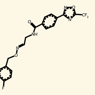 O=C(NCC=NOCc1ccc(F)cc1)c1ccc(-c2noc(C(F)(F)F)n2)cc1